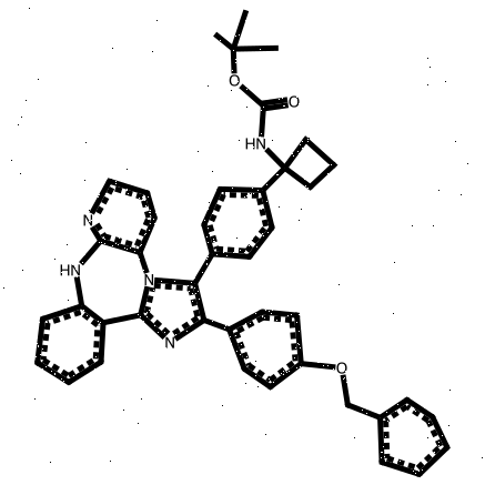 CC(C)(C)OC(=O)NC1(c2ccc(-c3c(-c4ccc(OCc5ccccc5)cc4)nc4n3-c3cccnc3Nc3ccccc3-4)cc2)CCC1